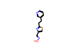 O/N=C/c1csc(CCc2cccnc2)n1